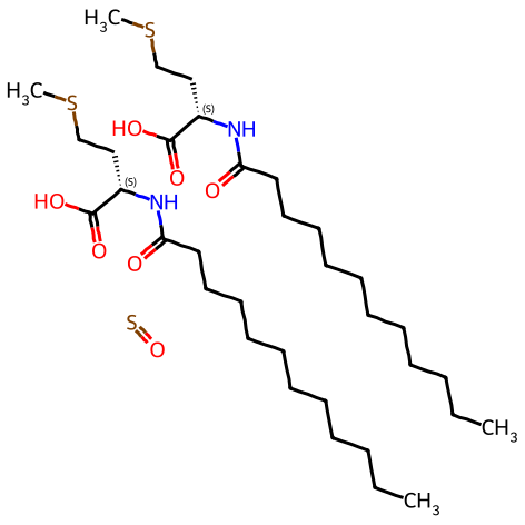 CCCCCCCCCCCC(=O)N[C@@H](CCSC)C(=O)O.CCCCCCCCCCCC(=O)N[C@@H](CCSC)C(=O)O.O=S